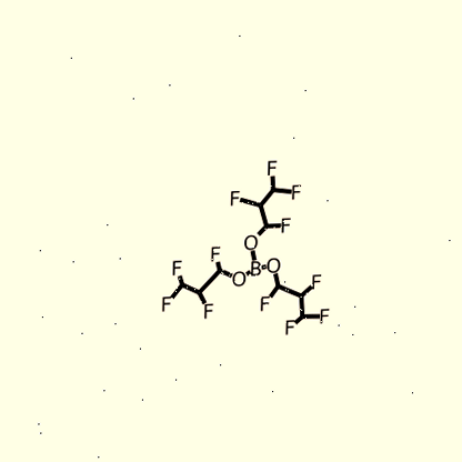 FC(F)C(F)C(F)OB(OC(F)C(F)C(F)F)OC(F)C(F)C(F)F